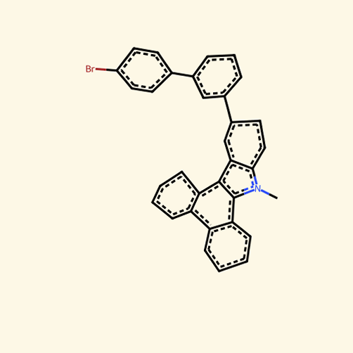 Cn1c2ccc(-c3cccc(-c4ccc(Br)cc4)c3)cc2c2c3ccccc3c3ccccc3c21